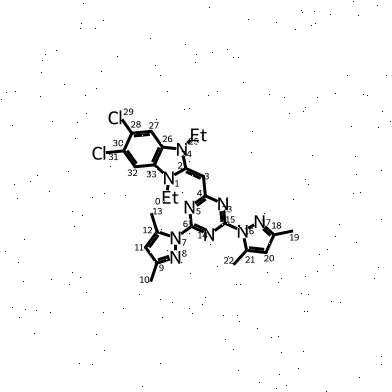 CCN1C(=Cc2nc(-n3nc(C)cc3C)nc(-n3nc(C)cc3C)n2)N(CC)c2cc(Cl)c(Cl)cc21